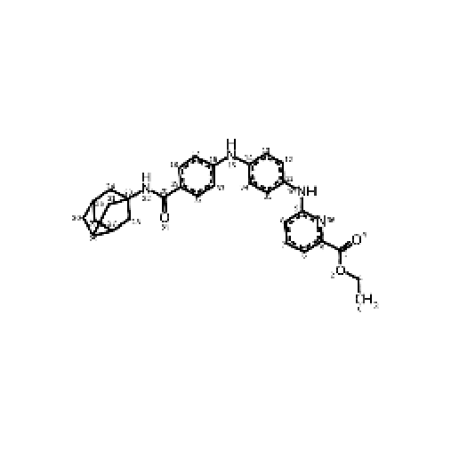 CCOC(=O)c1cccc(Nc2ccc(Nc3ccc(C(=O)NC45CC6CC(C4)C(C6)C5)cc3)cc2)n1